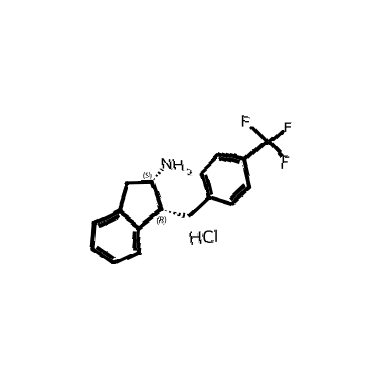 Cl.N[C@H]1Cc2ccccc2[C@H]1Cc1ccc(C(F)(F)F)cc1